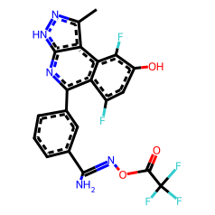 Cc1n[nH]c2nc(-c3cccc(C(N)=NOC(=O)C(F)(F)F)c3)c3c(F)cc(O)c(F)c3c12